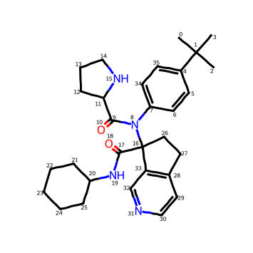 CC(C)(C)c1ccc(N(C(=O)C2CCCN2)C2(C(=O)NC3CCCCC3)CCc3ccncc32)cc1